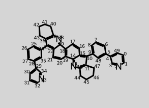 c1cncc(-c2cccc(-c3c4c(nc5c3ccc3c5ccc5c(-c6cccc(-c7cccnc7)c6)c6c(nc53)CCCC6)CCCC4)c2)c1